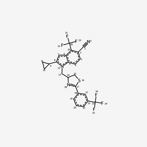 N#Cc1ccc2c(cc(C3CC3)n2CC2CSC(c3cccc(C(F)(F)F)c3)=N2)c1C(F)(F)F